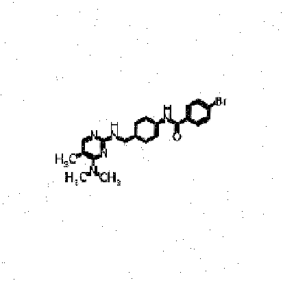 Cc1cnc(NCC2CCC(NC(=O)c3ccc(Br)cc3)CC2)nc1N(C)C